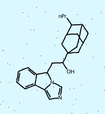 CCCC1C2CC3CC1CC(C(O)CC1c4ccccc4-c4cncn41)(C3)C2